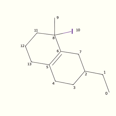 CCC1CCC2=C(C1)C(C)(I)CCC2